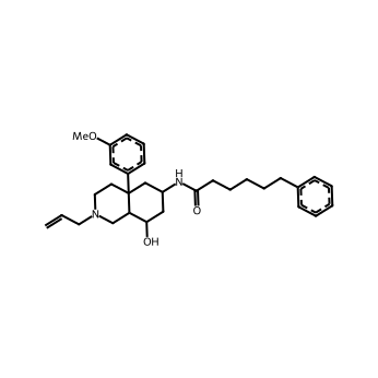 C=CCN1CCC2(c3cccc(OC)c3)CC(NC(=O)CCCCCc3ccccc3)CC(O)C2C1